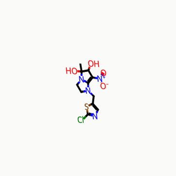 CC1(O)C(O)C([N+](=O)[O-])=C2N(Cc3cnc(Cl)s3)CCN21